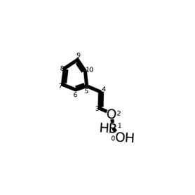 OBOC=Cc1ccccc1